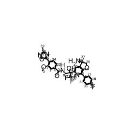 COc1cc(C(=O)NCC(O)(c2cc3c(c(-c4ccc(F)cc4)n2)OC[C@@]3(C)N)C(F)(F)F)ccc1-c1nc(C)no1